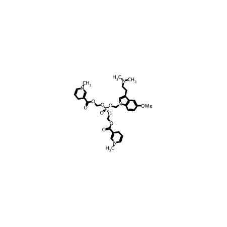 COc1ccc2c(c1)c(CCN(C)C)cn2COP(=O)(OCOC(=O)C1=CN(C)C=CC1)OCOC(=O)C1=CN(C)C=CC1